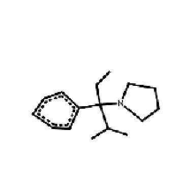 CCC(c1ccccc1)(C(C)C)N1CCCC1